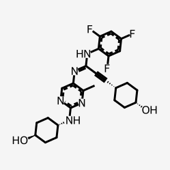 Cc1nc(N[C@H]2CC[C@H](O)CC2)ncc1/N=C(\C#C[C@H]1CC[C@@H](O)CC1)Nc1c(F)cc(F)cc1F